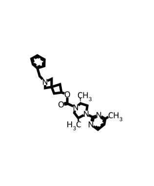 Cc1ccnc(N2C[C@@H](C)N(C(=O)OC3CC4(C3)CN(Cc3ccccc3)C4)C[C@@H]2C)n1